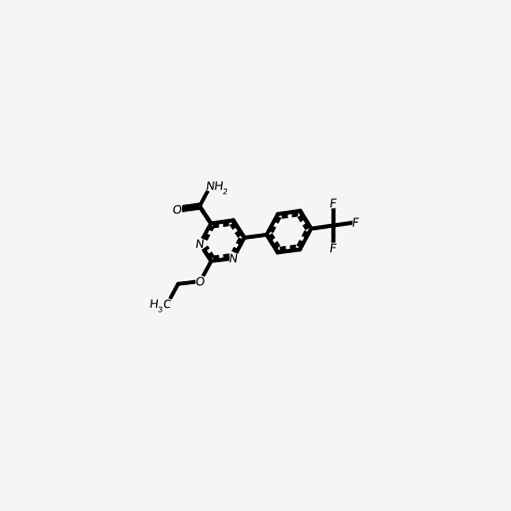 CCOc1nc(C(N)=O)cc(-c2ccc(C(F)(F)F)cc2)n1